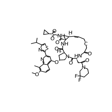 COc1ccc2c(O[C@@H]3C[C@H]4C(=O)N[C@]5(C(=O)NS(=O)(=O)C6CC6)C[C@H]5/C=C\CCCC(=O)N[C@@H](CC(=O)N5CCCC(F)(F)C5)C(=O)N4C3)cc(-c3nc(C(C)C)cs3)nc2c1C